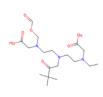 CCN(CCN(CCN(COC=O)CC(=O)O)CC(=O)C(C)(C)C)CC(=O)O